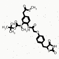 CSC(=O)Cc1ccc(NC(=O)COc2ccc(CC3SC(=O)NC3=O)cc2)c(N(C)C(=O)OC(C)(C)C)c1